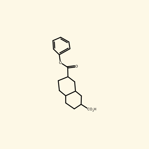 O=C(O)C1CCC2CCC(C(=O)Oc3ccccc3)CC2C1